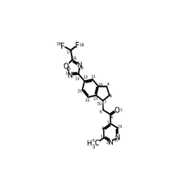 Cc1cc(C(=O)C[C@@H]2CCc3cc(-c4noc(C(F)F)n4)ccc32)cnn1